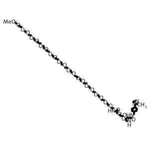 COCCOCCOCCOCCOCCOCCOCCOCCOCCOCCOCCOCCOCCOCCOCCOCCOCCOCCOCCOCCOCCOCCNC(=O)COCC(=O)OC1CNC(C(=O)NCc2ccc(-c3scnc3C)cc2)C1